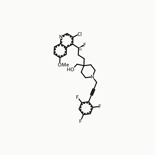 COc1ccc2ncc(Cl)c([C@@H](F)CCC3(CO)CCN(CC#Cc4c(F)cc(F)cc4F)CC3)c2c1